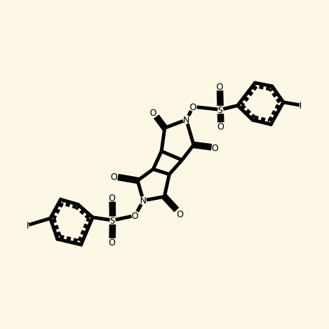 O=C1C2C(C(=O)N1OS(=O)(=O)c1ccc(I)cc1)C1C(=O)N(OS(=O)(=O)c3ccc(I)cc3)C(=O)C21